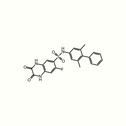 Cc1cc(NS(=O)(=O)c2cc3[nH]c(=O)c(=O)[nH]c3cc2F)cc(C)c1-c1ccccc1